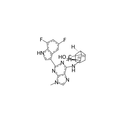 Cn1cnc2c(N[C@H]3C4CCC(CC4)[C@@H]3C(=O)O)nc(-c3c[nH]c4c(F)cc(F)cc34)nc21